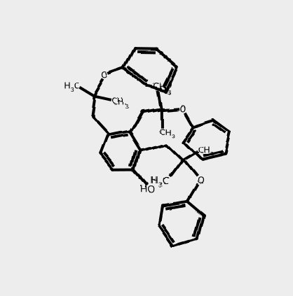 CC(C)(Cc1ccc(O)c(CC(C)(C)Oc2ccccc2)c1CC(C)(C)Oc1ccccc1)Oc1ccccc1